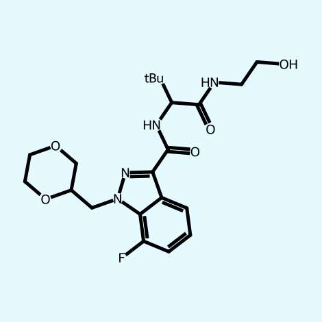 CC(C)(C)C(NC(=O)c1nn(CC2COCCO2)c2c(F)cccc12)C(=O)NCCO